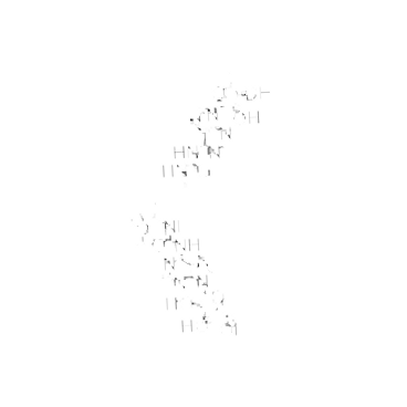 COC(=O)C(CCCCNC(=O)Nc1ncnc2c1ncn2C1OC(C)C(O)C1O)NC(=O)Nc1ncnc2c1ncn2C1OC(CO)C(O)C1O